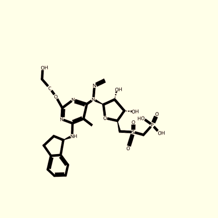 C=NN(c1nc(OCCO)nc(N[C@@H]2CCc3ccccc32)c1C)[C@@H]1O[C@H](CS(=O)(=O)CP(=O)(O)O)[C@@H](O)[C@H]1O